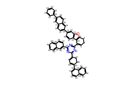 C1=C(c2nc(C3=CCCc4oc5cc(-c6ccc7cc(-c8ccccc8)ccc7c6)ccc5c43)nc(-c3ccc4ccccc4c3)n2)CCC(c2cccc3ccccc23)=C1